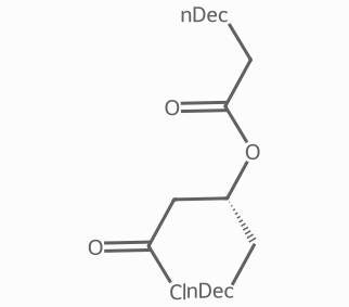 CCCCCCCCCCCC(=O)O[C@H](CCCCCCCCCCC)CC(=O)Cl